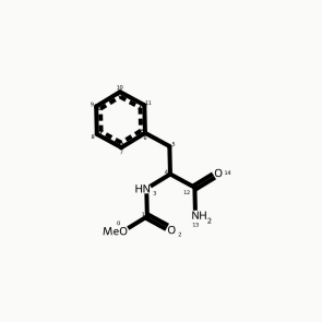 COC(=O)NC(Cc1ccccc1)C(N)=O